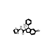 C[C@@]1(C(=O)Nc2nccs2)Cc2ccc(Br)cc2[C@@H]1c1ccccc1